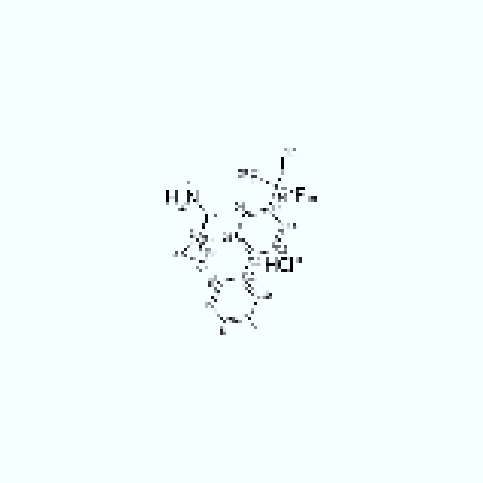 Cl.NC[C@@H]1C[C@H]1c1ccccc1-c1ccc(C(F)(F)F)cc1